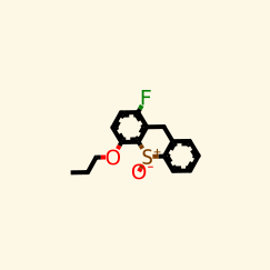 CCCOc1ccc(F)c2c1[S+]([O-])c1ccccc1C2